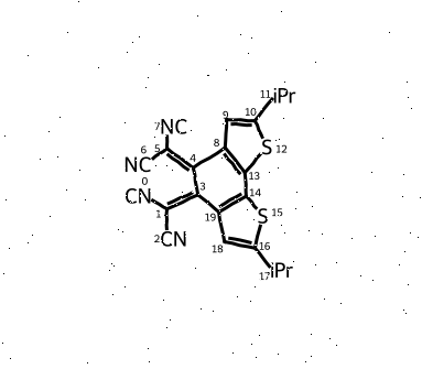 [C-]#[N+]/C(C#N)=c1\c(=C(/C#N)[N+]#[C-])c2cc(C(C)C)sc2c2sc(C(C)C)cc12